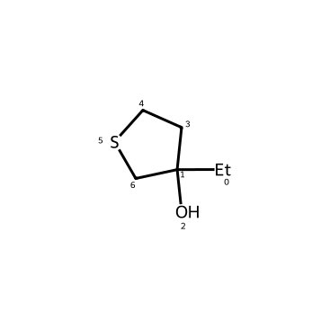 CCC1(O)CCSC1